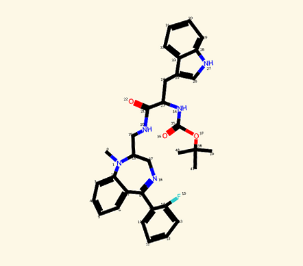 CN1c2ccccc2C(c2ccccc2F)=NCC1CNC(=O)C(Cc1c[nH]c2ccccc12)NC(=O)OC(C)(C)C